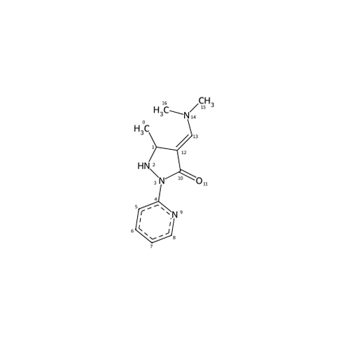 CC1NN(c2ccccn2)C(=O)/C1=C/N(C)C